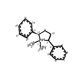 B[PH]1(CCC)C(c2ccccc2)CC[C@@H]1c1ccccc1